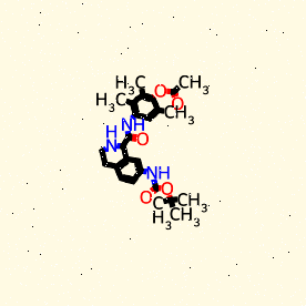 CC(=O)Oc1c(C)cc(NC(=O)C2NCCc3ccc(NC(=O)OC(C)(C)C)cc32)c(C)c1C